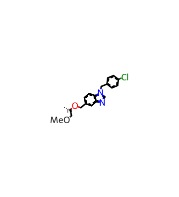 COC[C@H](C)OCc1ccc2c(c1)ncn2Cc1ccc(Cl)cc1